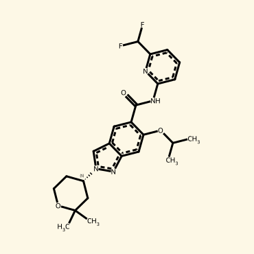 CC(C)Oc1cc2nn([C@H]3CCOC(C)(C)C3)cc2cc1C(=O)Nc1cccc(C(F)F)n1